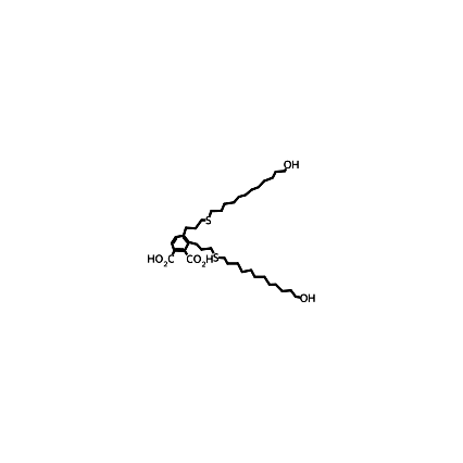 O=C(O)c1ccc(CCCSCCCCCCCCCCCCO)c(CCCSCCCCCCCCCCCCO)c1C(=O)O